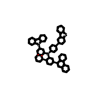 c1ccc(-c2ccc(-c3cc4ccccc4c4ccccc34)cc2N(c2ccc(-c3ccc4sc5ccccc5c4c3)cc2)c2cccc(-n3c4ccccc4c4ccccc43)c2)cc1